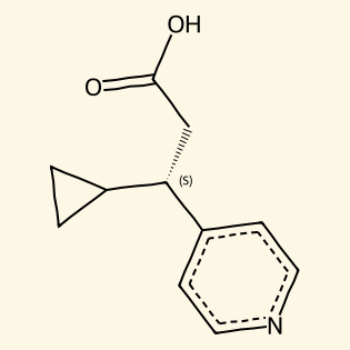 O=C(O)C[C@H](c1ccncc1)C1CC1